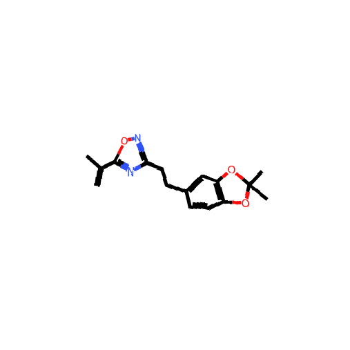 C=C(C)c1nc(CCc2ccc3c(c2)OC(C)(C)O3)no1